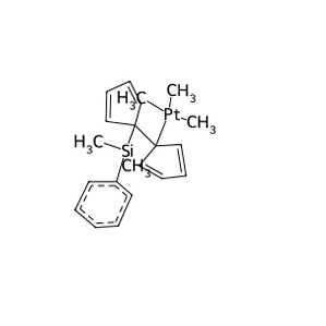 C[Si](C)(c1ccccc1)C1([C]2([Pt]([CH3])([CH3])[CH3])C=CC=C2)C=CC=C1